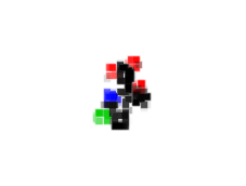 COc1cc(C(O[Si](C)(C)C(C)(C)C)[C@H](CCCc2ccccc2)Cn2cc(CCl)cn2)cc(OC)c1C